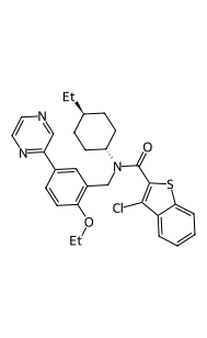 CCOc1ccc(-c2cnccn2)cc1CN(C(=O)c1sc2ccccc2c1Cl)[C@H]1CC[C@H](CC)CC1